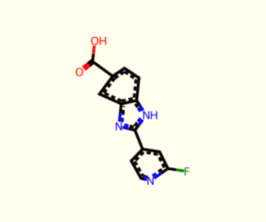 O=C(O)c1ccc2[nH]c(-c3ccnc(F)c3)nc2c1